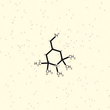 [3H]CC1CC(C)(C)N(C)C(C)(C)C1